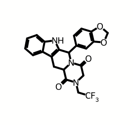 O=C1C2Cc3c([nH]c4ccccc34)C(c3ccc4c(c3)OCO4)N2C(=O)CN1CC(F)(F)F